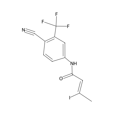 C/C(I)=C/C(=O)Nc1ccc(C#N)c(C(F)(F)F)c1